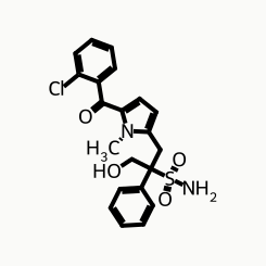 Cn1c(CC(CO)(c2ccccc2)S(N)(=O)=O)ccc1C(=O)c1ccccc1Cl